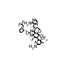 Cc1cc(N)nc(-c2c(Cl)c3c4c(nc(OC[C@@H]5CCCN5CC(F)F)nc4c2F)N([C@H](C)c2nccnc2N)CCO3)c1C(F)(F)F